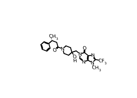 C[C@H](CC(=O)N1CCC(O)(Cn2cnc3c(nc(C(F)(F)F)n3C)c2=O)CC1)c1ccccc1